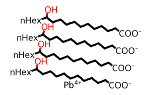 CCCCCCC(O)CCCCCCCCCCC(=O)[O-].CCCCCCC(O)CCCCCCCCCCC(=O)[O-].CCCCCCC(O)CCCCCCCCCCC(=O)[O-].CCCCCCC(O)CCCCCCCCCCC(=O)[O-].[Pb+4]